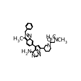 Cc1c2ccc(-c3cc(C4CCCN(C(=O)CN(C)C)C4)n4ncnc(N)c34)cc2nn1Cc1ccccc1